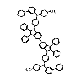 Cc1ccc(N(c2ccc(-n3c(-c4ccccc4)c(-c4ccccc4)c4cc(-c5ccc6c(c5)c(-c5ccccc5)c(-c5ccccc5)n6-c5ccc(N(c6ccc(C)cc6)c6cccc(-c7ccccc7)c6)cc5)ccc43)cc2)c2cccc(-c3ccccc3)c2)cc1